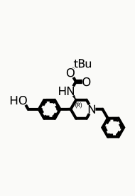 CC(C)(C)OC(=O)N[C@H]1CN(Cc2ccccc2)CCC1c1ccc(CO)cc1